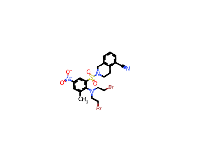 Cc1cc([N+](=O)[O-])cc(S(=O)(=O)N2CCc3c(C#N)cccc3C2)c1N(CCBr)CCBr